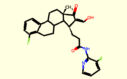 C[C@]12CCC3c4cccc(F)c4CCC3C1[C@H](CCC(=O)Nc1ncccc1F)/C(=C/O)C2=O